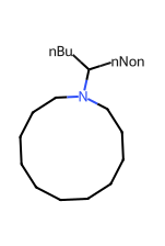 CCCCCCCCCC(CCCC)N1CCCCCCCCCCC1